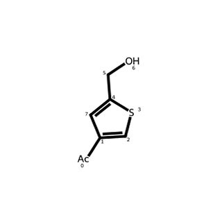 CC(=O)c1csc(CO)c1